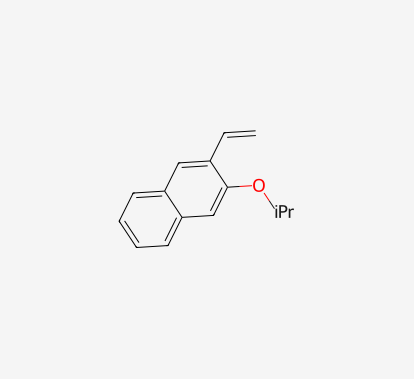 C=Cc1cc2ccccc2cc1OC(C)C